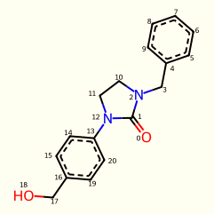 O=C1N(Cc2ccccc2)CCN1c1ccc(CO)cc1